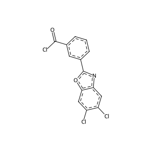 O=C(Cl)c1cccc(-c2nc3cc(Cl)c(Cl)cc3o2)c1